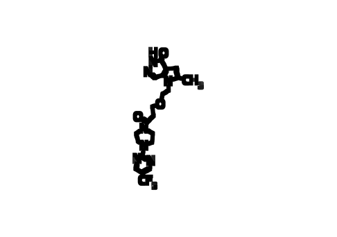 Cc1cc2c(=O)[nH]ncc2n1CCOCCC(=O)N1CCN(c2ncc(C(F)(F)F)cn2)CC1